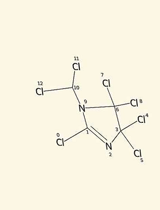 ClC1=NC(Cl)(Cl)C(Cl)(Cl)N1C(Cl)Cl